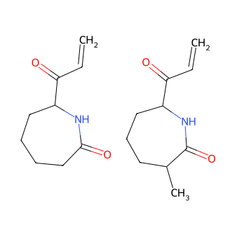 C=CC(=O)C1CCCC(C)C(=O)N1.C=CC(=O)C1CCCCC(=O)N1